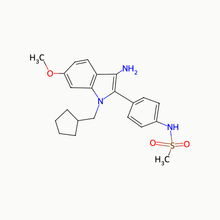 COc1ccc2c(N)c(-c3ccc(NS(C)(=O)=O)cc3)n(CC3CCCC3)c2c1